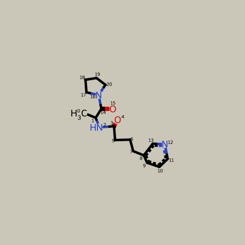 CC(NC(=O)CCCc1cccnc1)C(=O)N1CCCC1